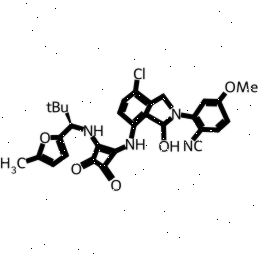 COc1ccc(C#N)c(N2Cc3c(Cl)ccc(Nc4c(N[C@@H](c5ccc(C)o5)C(C)(C)C)c(=O)c4=O)c3C2O)c1